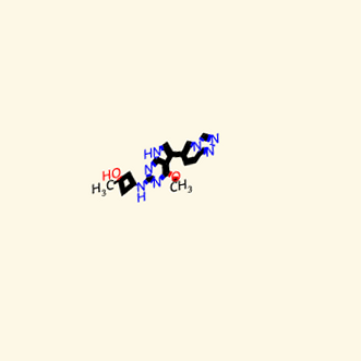 COc1nc(N[C@H]2C[C@@](C)(O)C2)nc2[nH]cc(-c3ccc4nncn4c3)c12